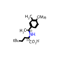 COc1ccc([C@H](C)N[C@@H](CCC(C)(C)C)C(=O)O)cc1C